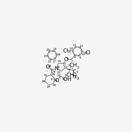 CC(C)(C)[C@@H]1C(OCc2cc(Cl)ccc2Cl)[C@@H](c2ccccc2)N(C(=O)C2CCCCC2)[C@H]1C(=O)O